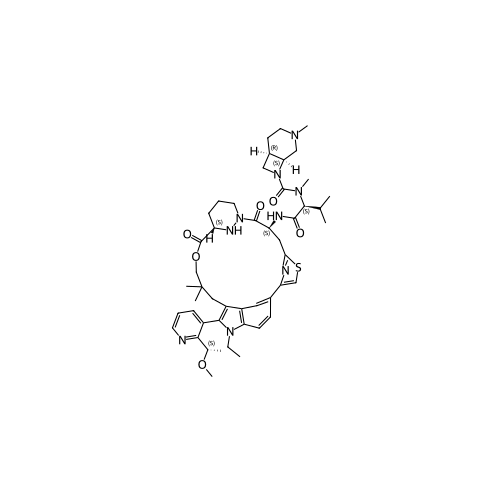 CCn1c(-c2cccnc2[C@H](C)OC)c2c3cc(ccc31)-c1csc(n1)C[C@H](NC(=O)[C@H](C(C)C)N(C)C(=O)N1C[C@H]3CCN(C)C[C@H]31)C(=O)N1CCC[C@H](N1)C(=O)OCC(C)(C)C2